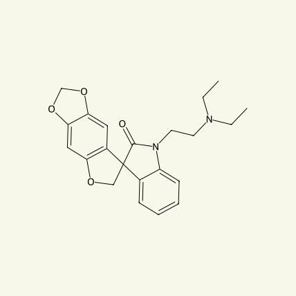 CCN(CC)CCN1C(=O)C2(COc3cc4c(cc32)OCO4)c2ccccc21